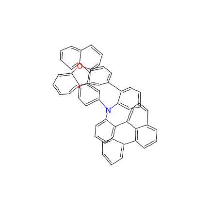 c1ccc(-c2cccc3cccc(-c4ccccc4N(c4cccc(-c5cccc6ccccc56)c4)c4ccccc4-c4ccc5oc6ccccc6c5c4)c23)cc1